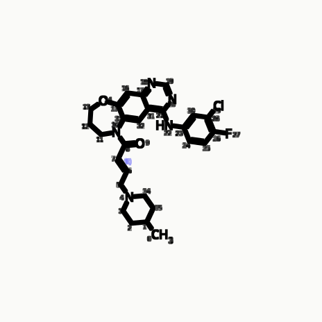 CC1CCN(C/C=C/C(=O)N2CCCOc3cc4ncnc(Nc5ccc(F)c(Cl)c5)c4cc32)CC1